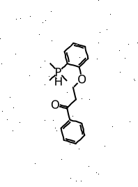 C[PH](C)(C)c1ccccc1OCCC(=O)c1ccccc1